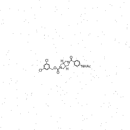 CC(=O)Nc1ccc(C(=O)N2C[C@H]3CN(C(=O)OCc4cc(Cl)cc(Cl)c4)C[C@@H]3C2)cc1